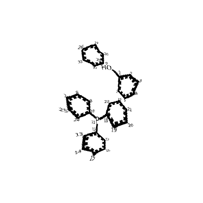 Oc1ccccc1.c1ccc(P(c2ccccc2)c2ccccc2)cc1.c1ccccc1